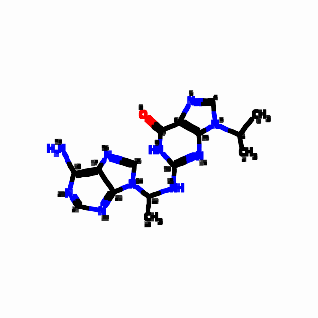 CC(C)n1cnc2c(=O)[nH]c(NC(C)n3cnc4c(N)ncnc43)nc21